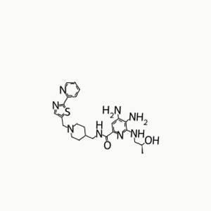 C[C@H](O)CNc1nc(C(=O)NCC2CCN(Cc3cnc(-c4ccccn4)s3)CC2)cc(N)c1N